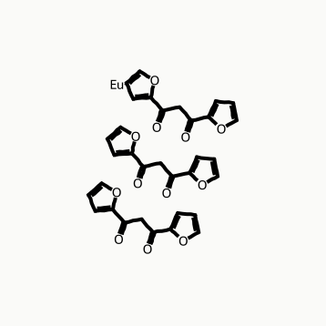 O=C(CC(=O)c1ccco1)c1ccco1.O=C(CC(=O)c1ccco1)c1ccco1.O=C(CC(=O)c1ccco1)c1ccco1.[Eu]